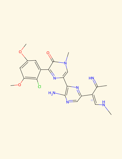 CN/C=C(\C(C)=N)c1cnc(N)c(-c2cn(C)c(=O)c(-c3cc(OC)cc(OC)c3Cl)n2)n1